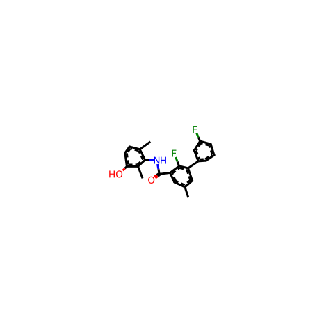 Cc1cc(C(=O)Nc2c(C)ccc(O)c2C)c(F)c(-c2cccc(F)c2)c1